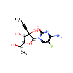 CC#CC1(O)[C@@H](O)[C@@H]([C@H](C)O)O[C@H]1n1cc(F)c(N)nc1=O